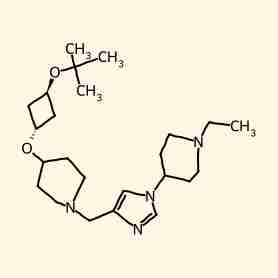 CCN1CCC(n2cnc(CN3CCC(O[C@H]4C[C@H](OC(C)(C)C)C4)CC3)c2)CC1